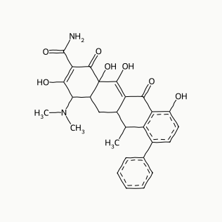 CC1c2c(-c3ccccc3)ccc(O)c2C(=O)C2=C(O)C3(O)C(=O)C(C(N)=O)=C(O)C(N(C)C)C3CC21